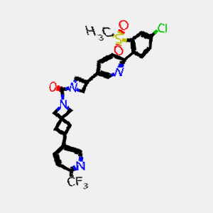 CS(=O)(=O)c1cc(Cl)ccc1-c1ccc(C2CN(C(=O)N3CC4(CC(c5ccc(C(F)(F)F)nc5)C4)C3)C2)cn1